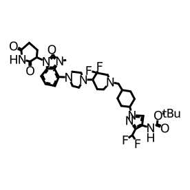 Cn1c(=O)n(C2CCC(=O)NC2=O)c2cccc(N3CCN(C4CCN(CC5CCC(n6cc(NC(=O)OC(C)(C)C)c(C(F)F)n6)CC5)CC4(F)F)CC3)c21